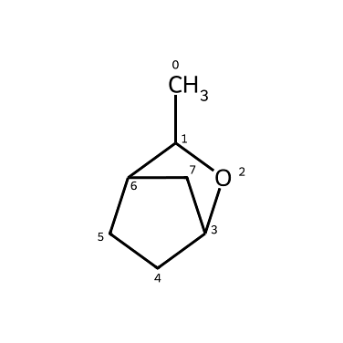 CC1OC2CCC1C2